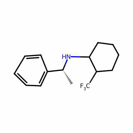 C[C@@H](NC1CCCCC1C(F)(F)F)c1ccccc1